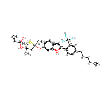 C=CC(=O)OC(C)(C)CC(C)(S)Oc1ccc2cc(-c3ccc(CCCCC)cc3C(F)(F)F)oc2c1